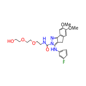 COc1cc2c(cc1OC)-c1nn(C(=O)NCCOCCOCCO)c(Nc3cccc(F)c3)c1C2